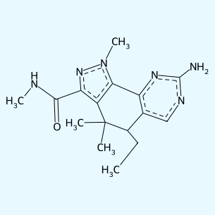 CCC1c2cnc(N)nc2-c2c(c(C(=O)NC)nn2C)C1(C)C